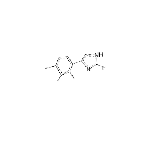 Cc1ccc(-c2c[nH]c(F)n2)c(C)c1C